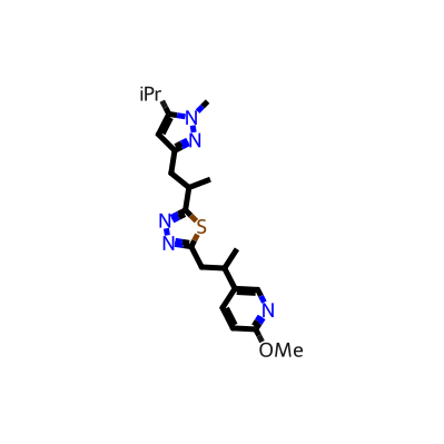 COc1ccc(C(C)Cc2nnc(C(C)Cc3cc(C(C)C)n(C)n3)s2)cn1